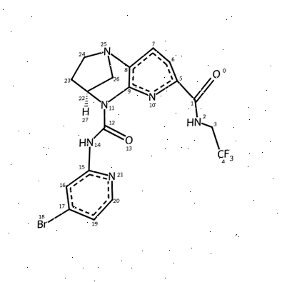 O=C(NCC(F)(F)F)c1ccc2c(n1)N(C(=O)Nc1cc(Br)ccn1)[C@H]1CCN2C1